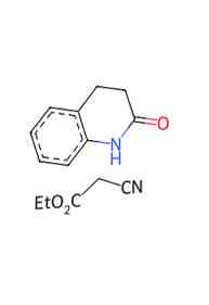 CCOC(=O)CC#N.O=C1CCc2ccccc2N1